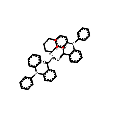 O=C(N[C@H]1CCCC[C@H]1NC(=O)c1ccccc1P(c1ccccc1)c1ccccc1)c1ccccc1P(c1ccccc1)c1ccccc1